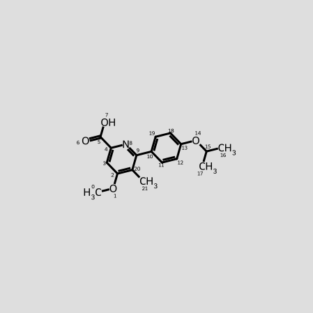 COc1cc(C(=O)O)nc(-c2ccc(OC(C)C)cc2)c1C